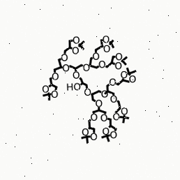 CC1(C)OCC(COCC(COCC2COC(C)(C)O2)OCC(COC(COCC2COC(C)(C)O2)COCC2COC(C)(C)O2)OCC(O)COC(COC(COCC2COC(C)(C)O2)COCC2COC(C)(C)O2)COC(COCC2COC(C)(C)O2)COCC2COC(C)(C)O2)O1